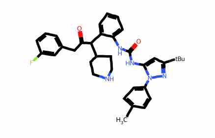 Cc1ccc(-n2nc(C(C)(C)C)cc2NC(=O)Nc2ccccc2C(C(=O)Cc2cccc(F)c2)C2CCNCC2)cc1